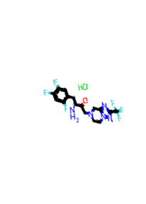 Cl.N[C@H](Cc1cc(F)c(F)cc1F)C(=O)CN1CCn2nc(C(F)(F)F)nc2C1